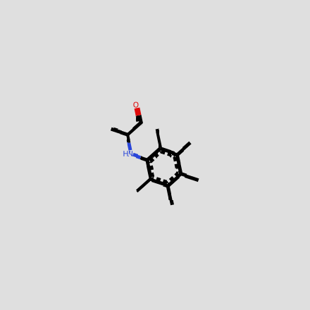 Cc1c(C)c(C)c(NC(C)C=O)c(C)c1C